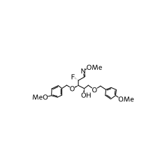 CON=C[C@@H](F)[C@H](OCc1ccc(OC)cc1)[C@H](O)COCc1ccc(OC)cc1